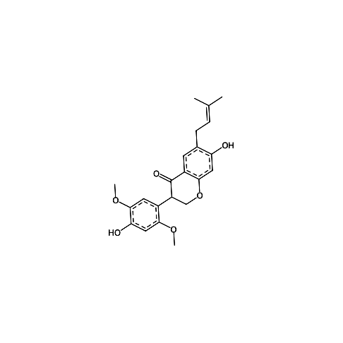 COc1cc(C2COc3cc(O)c(CC=C(C)C)cc3C2=O)c(OC)cc1O